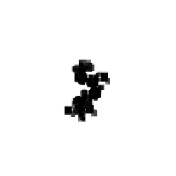 CNC(=O)c1cc(-c2cc(-c3cc(NC(=O)c4ccnc(C(C)(C)C#N)c4)ccc3F)cc(C)n2)ccn1